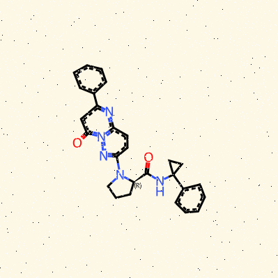 O=C(NC1(c2ccccc2)CC1)[C@H]1CCCN1c1ccc2nc(-c3ccccc3)cc(=O)n2n1